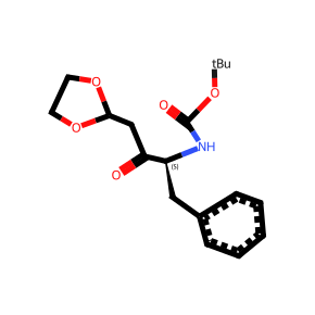 CC(C)(C)OC(=O)N[C@@H](Cc1ccccc1)C(=O)CC1OCCO1